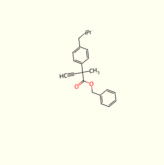 C#CC(C)(C(=O)OCc1ccccc1)c1ccc(CC(C)C)cc1